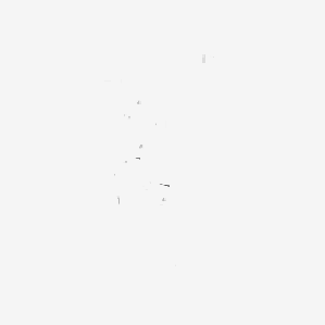 CC(C)C(C)CC[C@@H](C)[C@H]1CC[C@H]2[C@@H]3CC=C4CC(=O)CC[C@]4(C)[C@H]3CC[C@]12C